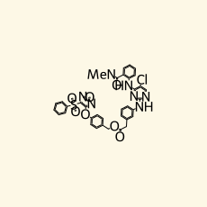 CNC(=O)c1ccccc1Nc1nc(Nc2cccc(CC(=O)OCc3ccc(Oc4nonc4S(=O)(=O)c4ccccc4)cc3)c2)ncc1Cl